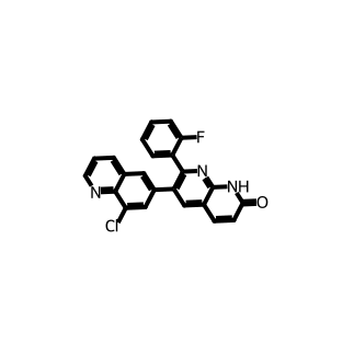 O=c1ccc2cc(-c3cc(Cl)c4ncccc4c3)c(-c3ccccc3F)nc2[nH]1